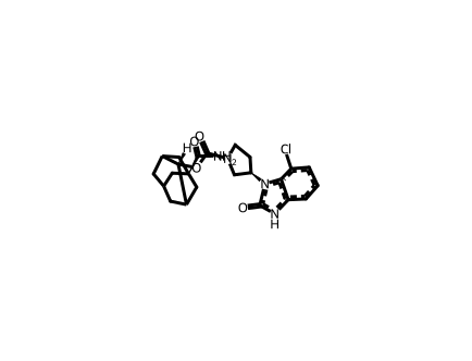 NC(=O)[C@]12CC3CC(C1)[C@@H](OC(=O)N1CC[C@@H](n4c(=O)[nH]c5cccc(Cl)c54)C1)C(C3)C2